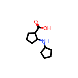 O=C(O)C1CCCC1NC1CCCC1